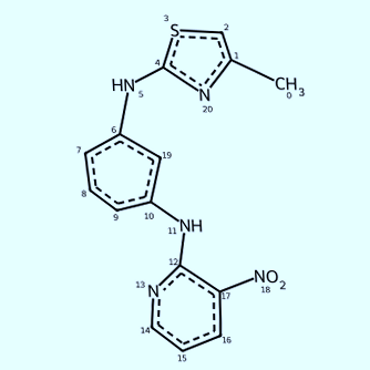 Cc1csc(Nc2cccc(Nc3ncccc3[N+](=O)[O-])c2)n1